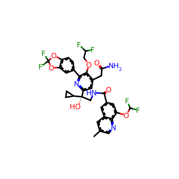 Cc1cnc2c(OC(F)F)cc(C(=O)NC[C@](O)(c3cc(CC(N)=O)c(OCC(F)F)c(-c4ccc5c(c4)OC(F)(F)O5)n3)C3CC3)cc2c1